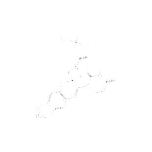 CC(C)(C)OC(=O)N1CC2(C1)Oc1cc3c(cc1C=C2C1CCC(=O)NC1=O)ONC3